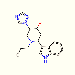 CCCN1CC(n2cncn2)C(O)CC1c1c[nH]c2ccccc12